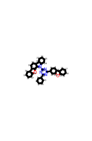 c1ccc(-c2nc(-c3ccc4c(c3)oc3ccccc34)nc(-n3c4ccccc4c4ccc5c6ccccc6oc5c43)n2)cc1